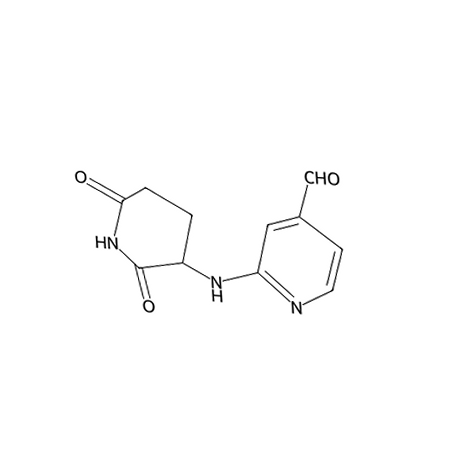 O=Cc1ccnc(NC2CCC(=O)NC2=O)c1